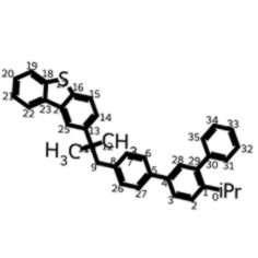 CC(C)c1ccc(-c2ccc(CC(C)(C)c3ccc4sc5ccccc5c4c3)cc2)cc1-c1ccccc1